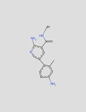 C=C(NC(C)C)c1cc(-c2ccc(N)cc2C)cnc1N